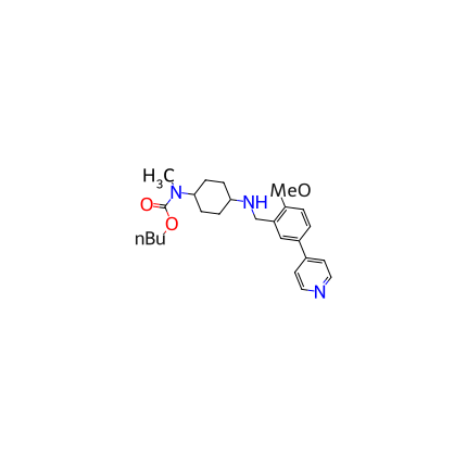 CCCCOC(=O)N(C)C1CCC(NCc2cc(-c3ccncc3)ccc2OC)CC1